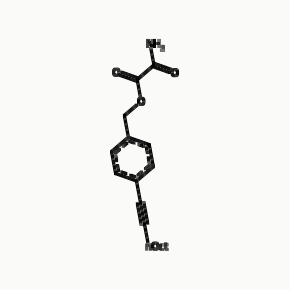 CCCCCCCCC#Cc1ccc(COC(=O)C(N)=O)cc1